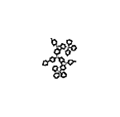 Cc1ccc(-n2c3ccc(N(c4ccc(-c5ccccc5)cc4)c4ccc5c(c4)c4cc([Si](c6ccccc6)(c6ccccc6)c6ccccc6)ccc4n5-c4ccc(C)cc4)cc3c3cc([Si](c4ccccc4)(c4ccccc4)c4ccccc4)ccc32)cc1